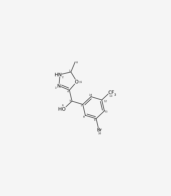 CC1NN=C(C(O)c2cc(Br)cc(C(F)(F)F)c2)O1